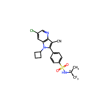 C[C@H](NS(=O)(=O)c1ccc(-c2c(C#N)c3ncc(Cl)cc3n2C2CCC2)cc1)C(F)(F)F